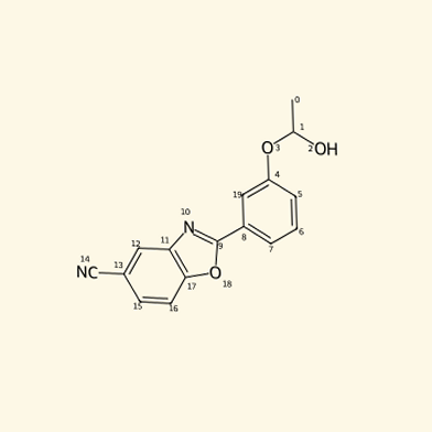 CC(O)Oc1cccc(-c2nc3cc(C#N)ccc3o2)c1